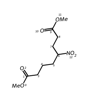 COC(=O)CCCC(CCC(=O)OC)[N+](=O)[O-]